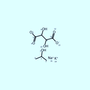 CC(C)O.O=C([O-])C(O)C(O)C(=O)[O-].[K+].[Na+]